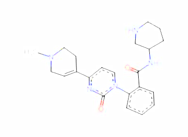 CN1CC=C(c2ccn(-c3ccccc3C(=O)NC3CCCNC3)c(=O)n2)CC1